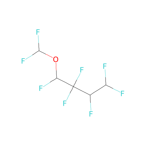 FC(F)OC(F)C(F)(F)C(F)C(F)F